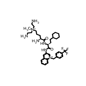 C[N+](CCN)(CCN)CCC[C@H](N)C(=O)N[C@@H](CCC1CCCCC1)C(=O)Nc1cc2ccccc2[n+](Cc2ccc(C(F)(F)F)cc2)c1